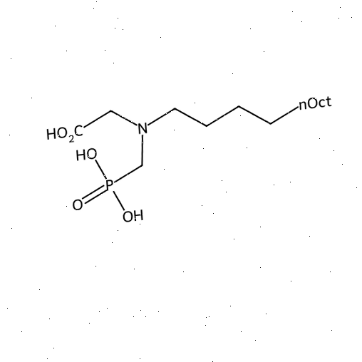 CCCCCCCCCCCCN(CC(=O)O)CP(=O)(O)O